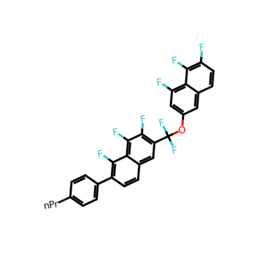 CCCc1ccc(-c2ccc3cc(C(F)(F)Oc4cc(F)c5c(F)c(F)ccc5c4)c(F)c(F)c3c2F)cc1